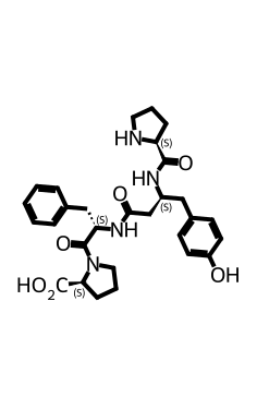 O=C(C[C@H](Cc1ccc(O)cc1)NC(=O)[C@@H]1CCCN1)N[C@@H](Cc1ccccc1)C(=O)N1CCC[C@H]1C(=O)O